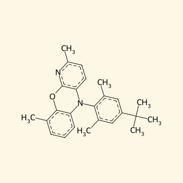 Cc1ccc2c(n1)Oc1c(C)cccc1N2c1c(C)cc(C(C)(C)C)cc1C